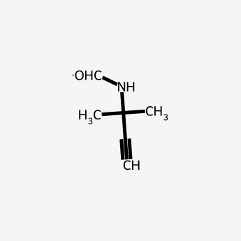 C#CC(C)(C)N[C]=O